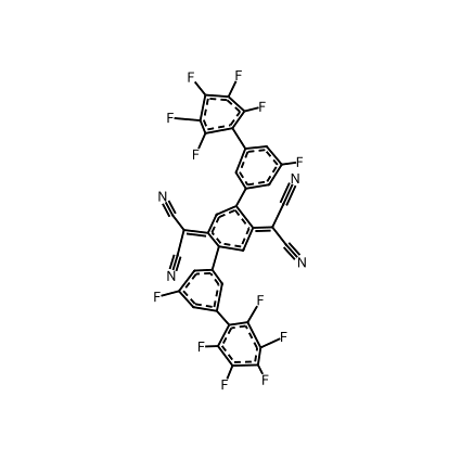 N#CC(C#N)=c1cc(-c2cc(F)cc(-c3c(F)c(F)c(F)c(F)c3F)c2)c(=C(C#N)C#N)cc1-c1cc(F)cc(-c2c(F)c(F)c(F)c(F)c2F)c1